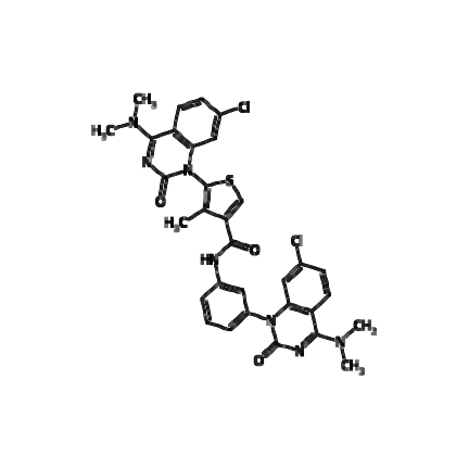 Cc1c(C(=O)Nc2cccc(-n3c(=O)nc(N(C)C)c4ccc(Cl)cc43)c2)csc1-n1c(=O)nc(N(C)C)c2ccc(Cl)cc21